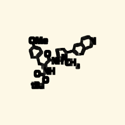 COc1ccc(C[C@H](NC(=O)OC(C)(C)C)C(=O)NC2=CCC(c3ccc4cnccc4c3)N2C)cc1